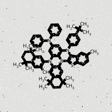 Cc1ccc2sc3c(c2c1)N(c1ccc(C(C)(C)C)cc1)c1cc(N(c2ccccc2)c2ccccc2)cc2c1B3c1cc3c(cc1N2c1cc2c(cc1C)C(C)(C)CCC2(C)C)C(C)(C)CCC3(C)C